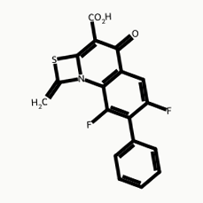 C=c1sc2c(C(=O)O)c(=O)c3cc(F)c(-c4ccccc4)c(F)c3n12